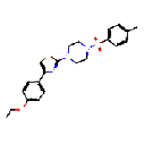 CCOc1ccc(-c2csc(N3CCN(S(=O)(=O)c4ccc(C)cc4)CC3)n2)cc1